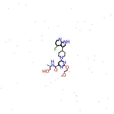 COC[C@@H](C)Oc1nc(C(=O)N[C@H](C)CO)cc(N2CCC(c3c[nH]c4nccc(F)c34)CC2)n1